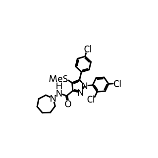 CSc1c(C(=O)NN2CCCCCC2)nn(-c2ccc(Cl)cc2Cl)c1-c1ccc(Cl)cc1